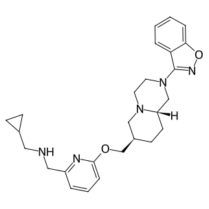 c1cc(CNCC2CC2)nc(OC[C@@H]2CC[C@H]3CN(c4noc5ccccc45)CCN3C2)c1